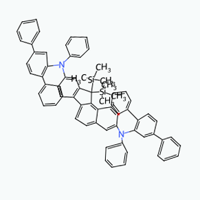 C[Si](C)(C)C1([Si](C)(C)C)c2cc(N(c3ccccc3)c3cc(-c4ccccc4)ccc3-c3ccccc3)ccc2-c2ccc3cc(N(c4ccccc4)c4cc(-c5ccccc5)ccc4-c4ccccc4)ccc3c21